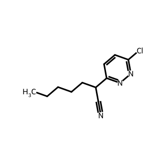 CCCCCC(C#N)c1ccc(Cl)nn1